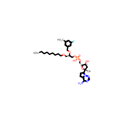 CCCCCCCCCCCCCCCCCCOC[C@H](COP(=O)(O)OC[C@H]1O[C@@](C#N)(c2ccc3c(N)ncnn23)C[C@@H]1O)OCc1cc(F)cc(C(=O)O)c1